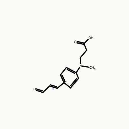 CN(CCC(=O)O)c1ccc(/C=C/C=O)cc1